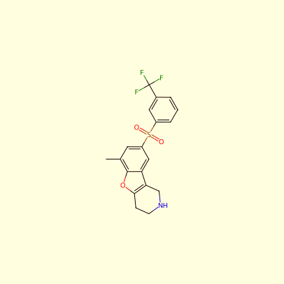 Cc1cc(S(=O)(=O)c2cccc(C(F)(F)F)c2)cc2c3c(oc12)CCNC3